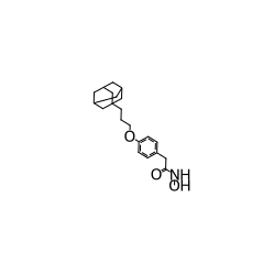 O=C(Cc1ccc(OCCCC23CC4CC(CC(C4)C2)C3)cc1)NO